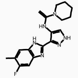 C=C(Nc1c[nH]nc1-c1nc2cc(F)c(C)cc2[nH]1)N1CCCCC1